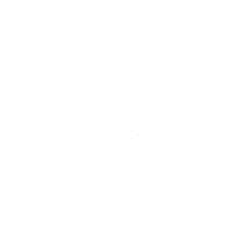 CC(C)CC1(CN2CCC(N3CCC(N4CCN(C(C)C)CC4)CC3)CC2)CC1